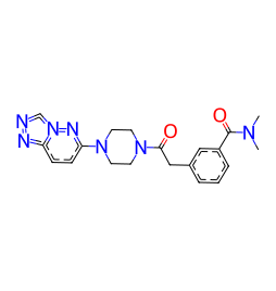 CN(C)C(=O)c1cccc(CC(=O)N2CCN(c3ccc4nncn4n3)CC2)c1